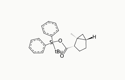 CC(C)(C)[Si](OC(=O)[C@H]1CC[C@H]2C[C@@]21C)(c1ccccc1)c1ccccc1